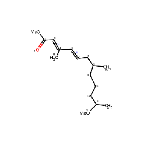 COC(=O)/C=C(C)/C=C/CC(C)CCCC(C)OC